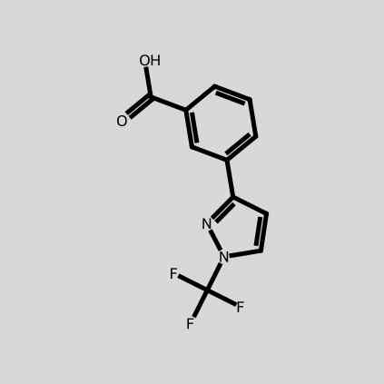 O=C(O)c1cccc(-c2ccn(C(F)(F)F)n2)c1